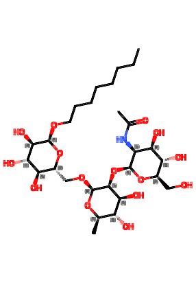 CCCCCCCCO[C@H]1O[C@H](CO[C@@H]2O[C@H](C)[C@@H](O)[C@H](O)[C@@H]2O[C@@H]2O[C@H](CO)[C@@H](O)[C@H](O)[C@@H]2NC(C)=O)[C@@H](O)[C@H](O)[C@H]1O